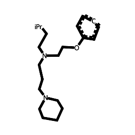 CC(C)CCN(CCCN1CCCCC1)CCOc1ccccc1